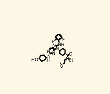 CCN(CCN(C)C)C(=O)[C@H]1CC[C@@H](n2c(Nc3c(F)cccc3F)nc3cnc(N[C@H]4CC[C@H](O)CC4)nc32)CC1